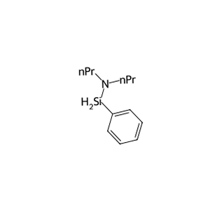 CCCN(CCC)[SiH2]c1ccccc1